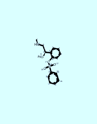 CNC[C@H](O)c1ccccc1OS(=O)(=O)c1ccccc1